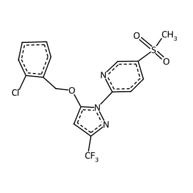 CS(=O)(=O)c1ccc(-n2nc(C(F)(F)F)cc2OCc2ccccc2Cl)nc1